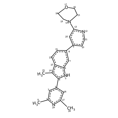 Cc1cc(-c2[nH]c3cc(-c4ccnc(N5CCOCC5)c4)ccc3c2C)cc(C)n1